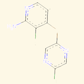 Nc1nccc(Sc2cnc(Cl)cn2)c1Cl